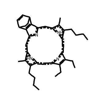 CCCCc1c(C)c2cc3nc(cc4[nH]c(cc5nc(cc1[nH]2)C(CC)=C5CC)c(CCCC)c4C)C1=C3C2C=CC1CC2